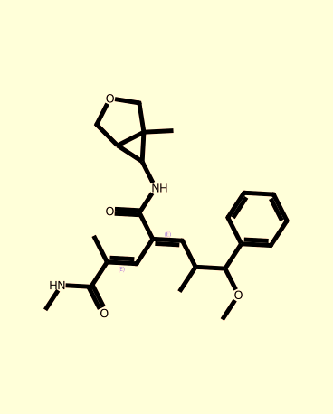 CNC(=O)/C(C)=C/C(=C\C(C)C(OC)c1ccccc1)C(=O)NC1C2COCC21C